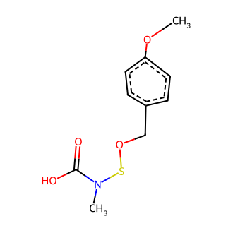 COc1ccc(COSN(C)C(=O)O)cc1